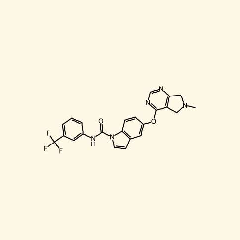 CN1Cc2ncnc(Oc3ccc4c(ccn4C(=O)Nc4cccc(C(F)(F)F)c4)c3)c2C1